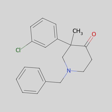 CC1(c2cccc(Cl)c2)CN(Cc2ccccc2)CCC1=O